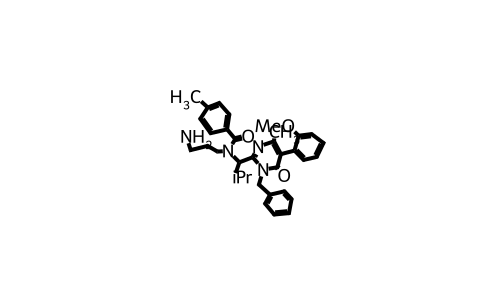 COc1ccccc1-c1c(C)nc(C(C(C)C)N(CCCN)C(=O)c2ccc(C)cc2)n(Cc2ccccc2)c1=O